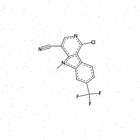 Cn1c2cc(C(F)(F)F)ccc2c2c(Cl)ncc(C#N)c21